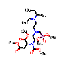 CC(C)(C)CC(N(CCN(CCN(C(=O)OC(C)(C)C)C(CC(=O)OC(C)(C)C)C(=O)OC(C)(C)C)CP(=O)(OC(C)(C)C)OC(C)(C)C)CC(C)(C)C)C(C)(C)C